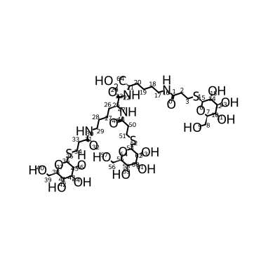 O=C(CCS[C@@H]1O[C@H](CO)[C@H](O)[C@H](O)[C@H]1O)NCCCC[C@H](NC(=O)[C@H](CCCCNC(=O)CCS[C@@H]1O[C@H](CO)[C@H](O)[C@H](O)[C@H]1O)NC(=O)CCS[C@@H]1O[C@H](CO)[C@H](O)[C@H](O)[C@H]1O)C(=O)O